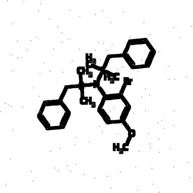 COc1ccc(N(S(C)(C)Cc2ccccc2)S(C)(C)Cc2ccccc2)c(Br)c1